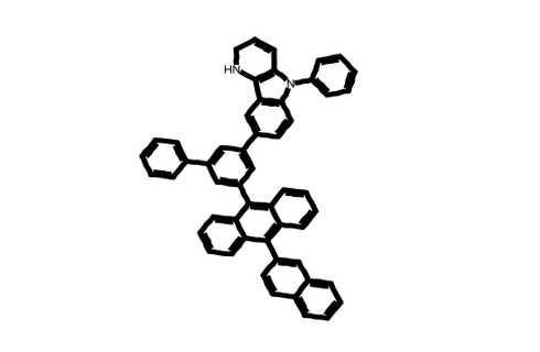 C1=Cc2c(c3cc(-c4cc(-c5ccccc5)cc(-c5c6ccccc6c(-c6ccc7ccccc7c6)c6ccccc56)c4)ccc3n2-c2ccccc2)NC1